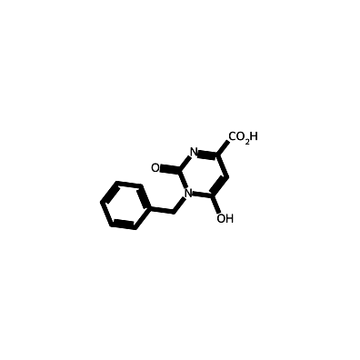 O=C(O)c1cc(O)n(Cc2ccccc2)c(=O)n1